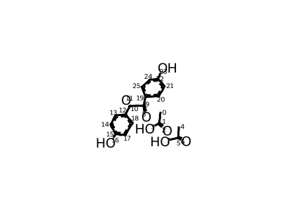 CC(=O)O.CC(=O)O.O=C(C(=O)c1ccc(O)cc1)c1ccc(O)cc1